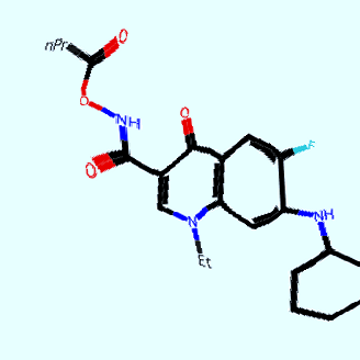 CCCC(=O)ONC(=O)c1cn(CC)c2cc(NC3CCCCC3)c(F)cc2c1=O